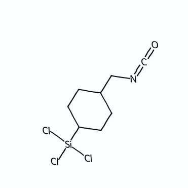 O=C=NCC1CCC([Si](Cl)(Cl)Cl)CC1